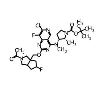 CC(=O)N1CC2CC(F)CC2(COc2nc(N(C)[C@@H]3CCN(C(=O)OC(C)(C)C)[C@@H]3C)c3cnc(Cl)c(F)c3n2)C1